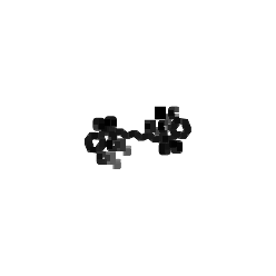 Cc1cccc(S(=O)(=O)SCCCCCCSS(=O)(=O)c2cccc(C)c2C)c1C